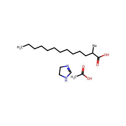 C1=NCCN1.CC(=O)O.CCCCCCCCCCC[CH]([Na])C(=O)O